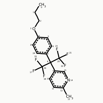 CCCOc1ccc(C(c2ccc(C)nc2)(C(F)(F)F)C(F)(F)F)cc1